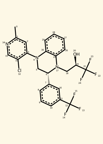 Cc1cc(N2C[C@@H](c3cccc(C(F)(F)F)c3)N(C[C@@H](O)C(F)(F)F)c3ccccc32)c(Cl)cn1